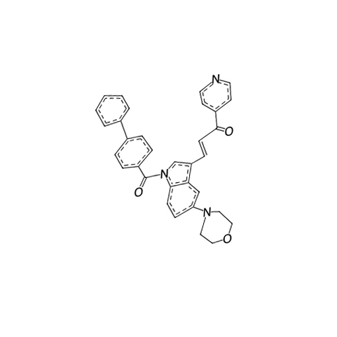 O=C(/C=C/c1cn(C(=O)c2ccc(-c3ccccc3)cc2)c2ccc(N3CCOCC3)cc12)c1ccncc1